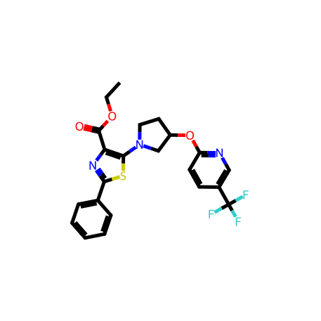 CCOC(=O)c1nc(-c2ccccc2)sc1N1CCC(Oc2ccc(C(F)(F)F)cn2)C1